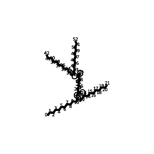 CCCCCCCCCCCN(CCCCCCCCCC)OC(=O)CSSCC(=O)ON(CCCCCCCCCC)CCCCCCCCCC